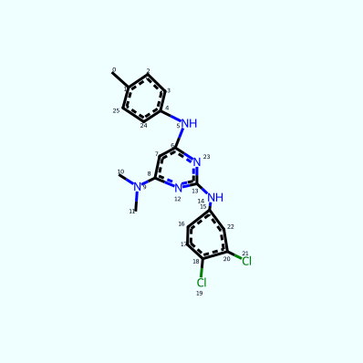 Cc1ccc(Nc2cc(N(C)C)nc(Nc3ccc(Cl)c(Cl)c3)n2)cc1